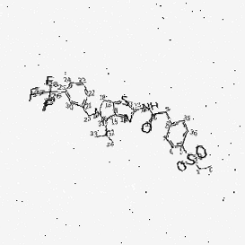 CCS(=O)(=O)c1ccc(CC(=O)Nc2nc3c(s2)CN(Cc2cccc(C(F)(F)F)c2)[C@@H]3C(C)C)cc1